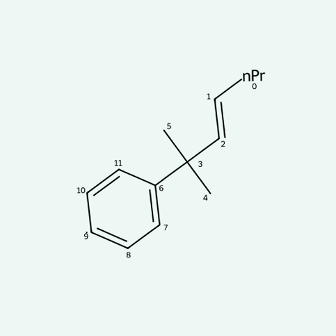 CCCC=CC(C)(C)c1cc[c]cc1